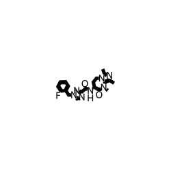 Cc1nc(C)n2c1N(C)C(=O)[C@H](NC(=O)c1ncn(Cc3ccccc3F)n1)CC2